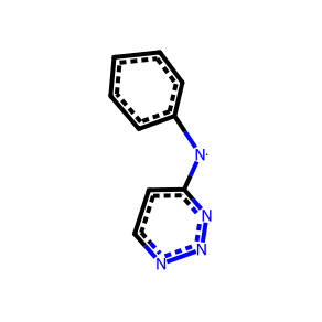 c1ccc([N]c2ccnnn2)cc1